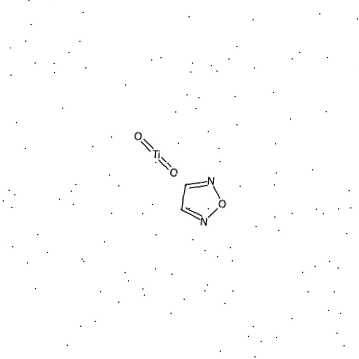 [O]=[Ti]=[O].c1cnon1